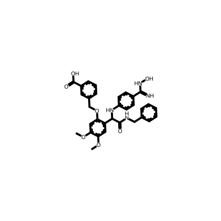 COc1cc(OCc2cccc(C(=O)O)c2)c(C(Nc2ccc(C(=N)NO)cc2)C(=O)NCc2ccccc2)cc1OC